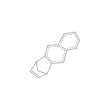 C1=CC2CC1c1cc3ccccc3cc12